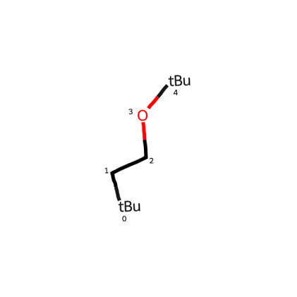 CC(C)(C)CCOC(C)(C)C